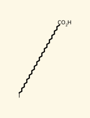 O=C(O)CCCCCCCCCCCCCCCCCCCCCCCCCCCCCCCCI